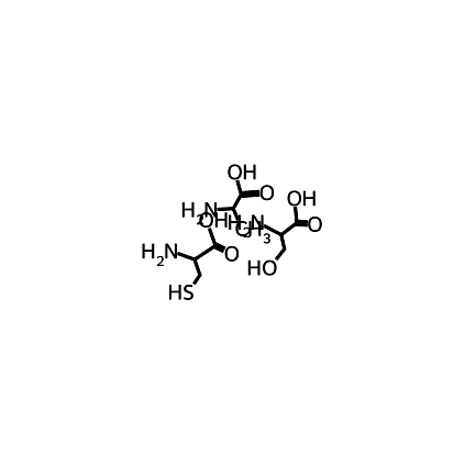 CC(N)C(=O)O.NC(CO)C(=O)O.NC(CS)C(=O)O